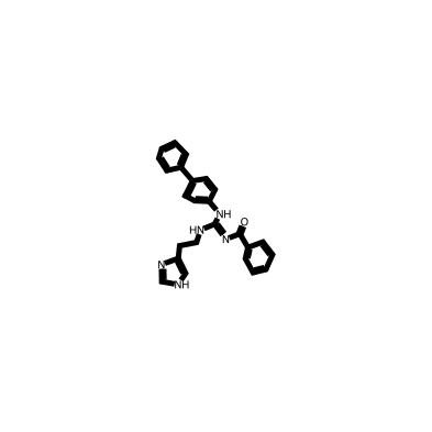 O=C(/N=C(/NCCc1c[nH]cn1)Nc1ccc(-c2ccccc2)cc1)c1ccccc1